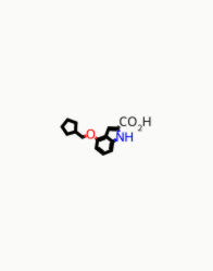 O=C(O)c1cc2c(OCC3CCCC3)cccc2[nH]1